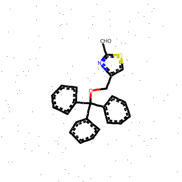 O=Cc1nc(COC(c2ccccc2)(c2ccccc2)c2ccccc2)cs1